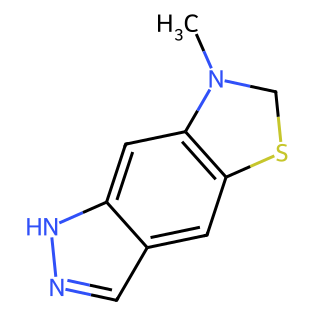 CN1CSc2cc3cn[nH]c3cc21